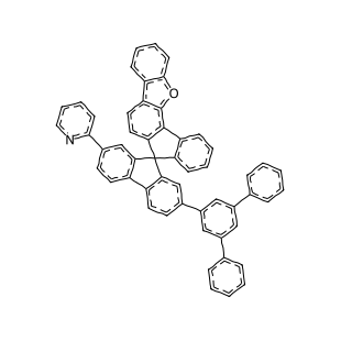 c1ccc(-c2cc(-c3ccccc3)cc(-c3ccc4c(c3)C3(c5cc(-c6ccccn6)ccc5-4)c4ccccc4-c4c3ccc3c4oc4ccccc43)c2)cc1